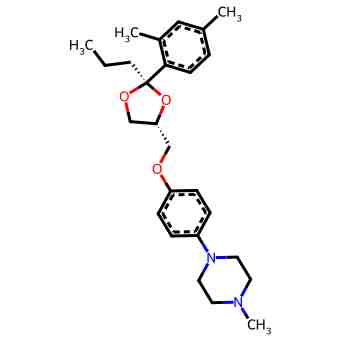 CCC[C@@]1(c2ccc(C)cc2C)OC[C@@H](COc2ccc(N3CCN(C)CC3)cc2)O1